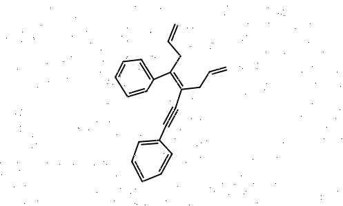 C=CCC(C#Cc1ccccc1)=C(CC=C)c1ccccc1